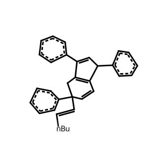 CCCCC=CC1(c2ccccc2)C=CC2=C(C1)C(c1ccccc1)=CC2c1ccccc1